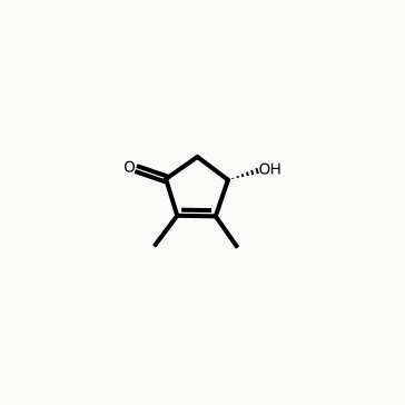 CC1=C(C)[C@@H](O)CC1=O